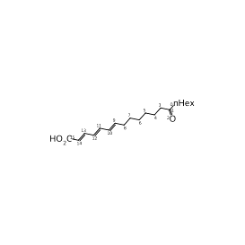 CCCCCCC(=O)CCCCCCC=CC=CC=CC(=O)O